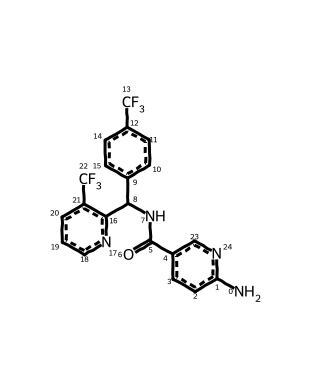 Nc1ccc(C(=O)NC(c2ccc(C(F)(F)F)cc2)c2ncccc2C(F)(F)F)cn1